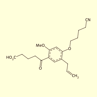 C=CCc1cc(C(=O)CCCC(=O)O)c(OC)cc1OCCCCC#N